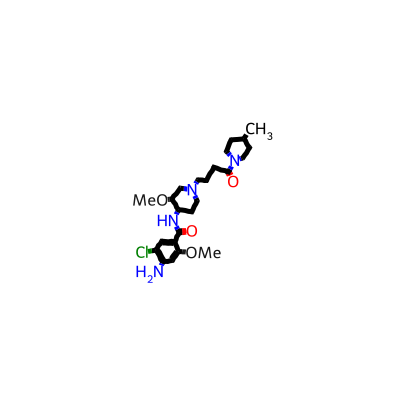 COc1cc(N)c(Cl)cc1C(=O)NC1CCN(CCCC(=O)N2CCC(C)CC2)CC1OC